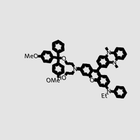 CCN(c1ccccc1)c1ccc2c(-c3ccc4c(c3)N(C)c3ccccc3N4C)c3cc/c(=[N+](/CCO)CCOC(c4ccccc4)(c4ccc(OC)cc4)c4ccc(OC)cc4)cc-3oc2c1